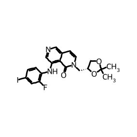 CC1(C)OC[C@@H](Cn2ccc3cncc(Nc4ccc(I)cc4F)c3c2=O)O1